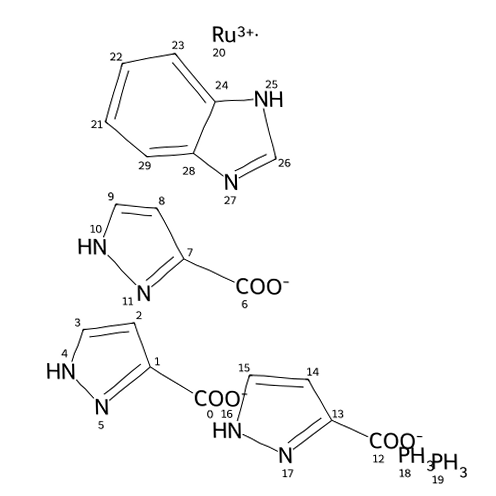 O=C([O-])c1cc[nH]n1.O=C([O-])c1cc[nH]n1.O=C([O-])c1cc[nH]n1.P.P.[Ru+3].c1ccc2[nH]cnc2c1